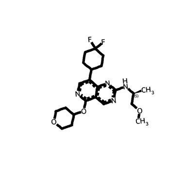 COC[C@H](C)Nc1ncc2c(OC3CCOCC3)ncc(C3CCC(F)(F)CC3)c2n1